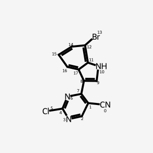 N#Cc1cnc(Cl)nc1-c1c[nH]c2c(Br)cccc12